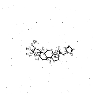 CO[C@H]1C[C@@]2(C)[C@@H](CC[C@@H]3[C@@H]2CC[C@]2(C)[C@@H](C(=O)Cn4nccn4)CC[C@@H]32)C[C@]1(C)O